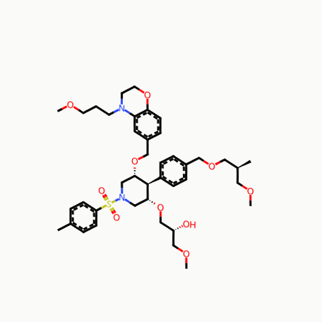 COCCCN1CCOc2ccc(CO[C@H]3CN(S(=O)(=O)c4ccc(C)cc4)C[C@@H](OC[C@H](O)COC)[C@@H]3c3ccc(COC[C@@H](C)COC)cc3)cc21